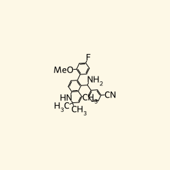 COc1cc(F)ccc1-c1ccc2c(c1C(N)c1cccc(C#N)c1)C(C)=CC(C)(C)N2